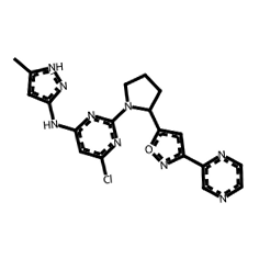 Cc1cc(Nc2cc(Cl)nc(N3CCCC3c3cc(-c4cnccn4)no3)n2)n[nH]1